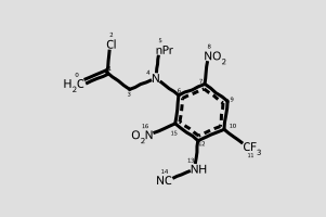 C=C(Cl)CN(CCC)c1c([N+](=O)[O-])cc(C(F)(F)F)c(NC#N)c1[N+](=O)[O-]